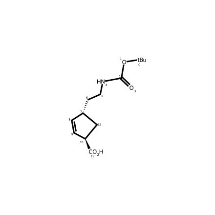 CC(C)(C)OC(=O)NCC[C@H]1C=C[C@H](C(=O)O)C1